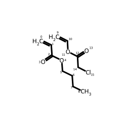 C=CC(=O)OCCCC.C=COC(=O)CCl